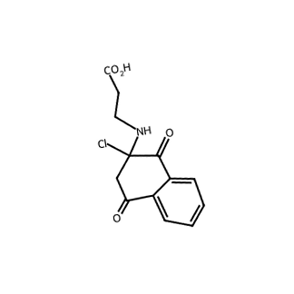 O=C(O)CCNC1(Cl)CC(=O)c2ccccc2C1=O